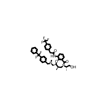 C[C@@H]1CN([C@@H](C)CO)C(=O)c2cccc(NC(=O)Cc3ccc(C(F)(F)F)cc3)c2O[C@@H]1CN(C)Cc1ccc(C(F)(F)c2ccccc2)cc1